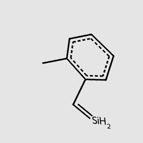 Cc1ccccc1C=[SiH2]